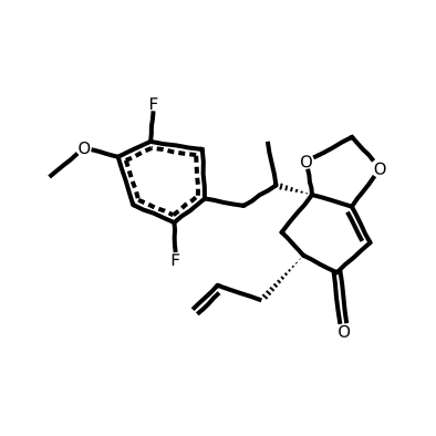 C=CC[C@@H]1C[C@@]2(C(C)Cc3cc(F)c(OC)cc3F)OCOC2=CC1=O